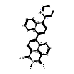 C/C=N\C(=C/C)c1ccc(-c2ccc3c4c(cccc24)C(=O)N(C)C3=O)c2ccccc12